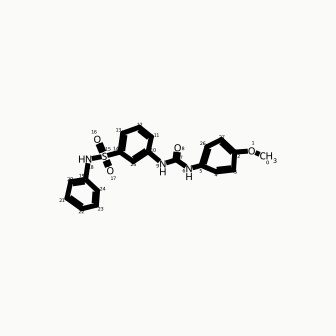 COc1ccc(NC(=O)Nc2cccc(S(=O)(=O)Nc3ccccc3)c2)cc1